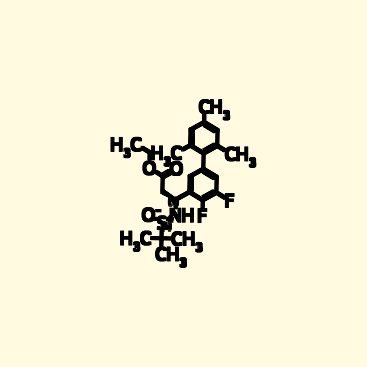 CCOC(=O)C[C@H](N[S@+]([O-])C(C)(C)C)c1cc(-c2c(C)cc(C)cc2C)cc(F)c1F